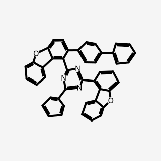 c1ccc(-c2ccc(-c3ccc4oc5ccccc5c4c3-c3nc(-c4ccccc4)nc(-c4cccc5oc6ccccc6c45)n3)cc2)cc1